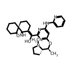 C[C@H](Oc1cc(Nc2ccccn2)nc(/C(O)=C2\CCC[C@@]3(CCCCC3=O)C2=N)n1)[C@@H]1CCCN1C